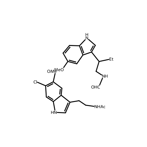 CCC(CNC=O)c1c[nH]c2ccc(OC)cc12.COc1cc2c(CCNC(C)=O)c[nH]c2cc1Cl